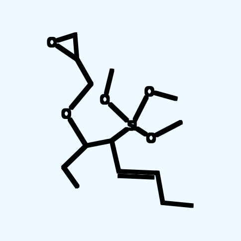 CCC=CC(C(CC)OCC1CO1)[Si](OC)(OC)OC